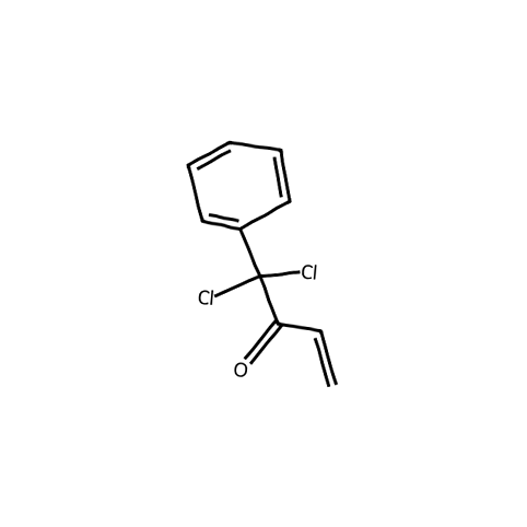 C=CC(=O)C(Cl)(Cl)c1ccccc1